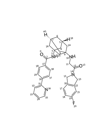 O=C(NC12C[C@@H]3C[C@@H](CC(NCC(=O)N4Cc5ccc(F)cc5C4)(C3)C1)C2)c1ccc(-c2ccccn2)cc1